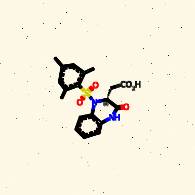 Cc1cc(C)c(S(=O)(=O)N2c3ccccc3NC(=O)[C@H]2CC(=O)O)c(C)c1